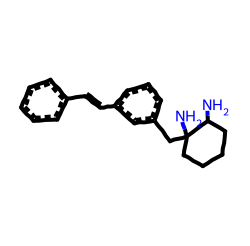 NC1CCCCC1(N)Cc1cccc(C=Cc2ccccc2)c1